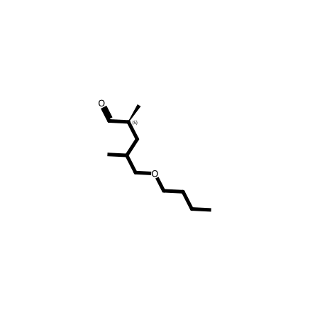 CCCCOCC(C)C[C@H](C)C=O